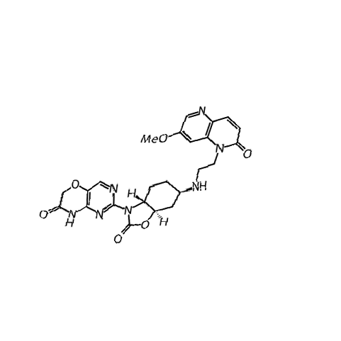 COc1cnc2ccc(=O)n(CCN[C@@H]3CC[C@@H]4[C@@H](C3)OC(=O)N4c3ncc4c(n3)NC(=O)CO4)c2c1